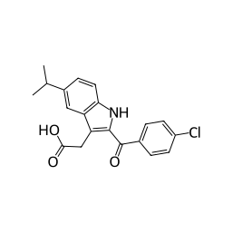 CC(C)c1ccc2[nH]c(C(=O)c3ccc(Cl)cc3)c(CC(=O)O)c2c1